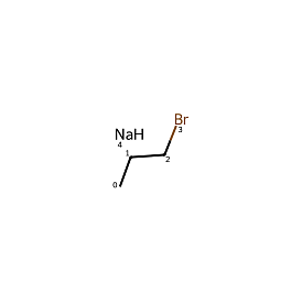 CCCBr.[NaH]